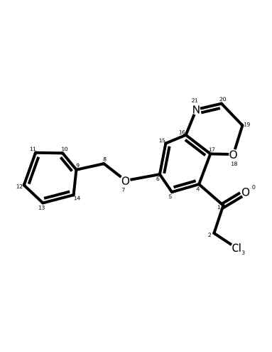 O=C(CCl)c1cc(OCc2ccccc2)cc2c1OCC=N2